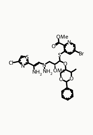 COC(=O)c1ncc(Br)cc1SC(OC1COC(c2ccccc2)OC1C)[C@H](CN(N)/C=C(\N)c1nc(Cl)cs1)OC